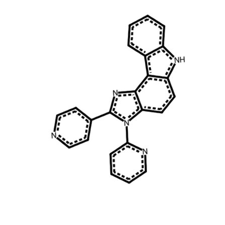 c1ccc(-n2c(-c3ccncc3)nc3c4c(ccc32)[nH]c2ccccc24)nc1